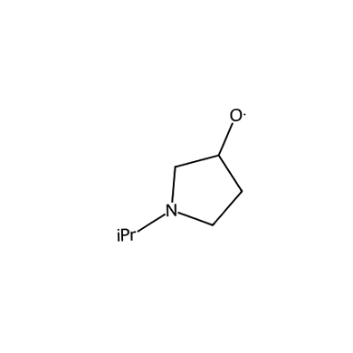 CC(C)N1CCC([O])C1